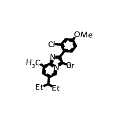 CCC(CC)c1cc(C)c2nc(-c3ccc(OC)cc3Cl)c(Br)n2c1